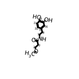 COCCC(=O)NCCc1ccc(O)c(O)c1